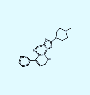 CN1CCN(c2cn3c4c(ncc3n2)C(c2ccccc2)=CCN4)CC1